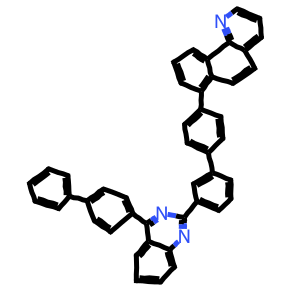 c1ccc(-c2ccc(-c3nc(-c4cccc(-c5ccc(-c6cccc7c6ccc6cccnc67)cc5)c4)nc4ccccc34)cc2)cc1